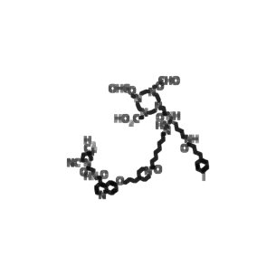 CC1(F)C[C@H](C#N)N(C(=O)CNC(=O)c2ccnc3ccc(OCCCC4CCN(C(=O)CCCCCCC=NN[C@H](CCCCNC(=O)CCCc5ccc(I)cc5)NC(=O)CN5CCN(COC=O)CCN(COC=O)CCN(CC(=O)O)CC5)CC4)cc23)C1